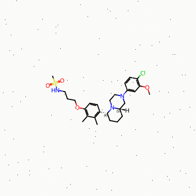 COc1cc(N2CCN3[C@@H](CCC[C@@H]3c3ccc(OCCCNS(C)(=O)=O)c(C)c3C)C2)ccc1Cl